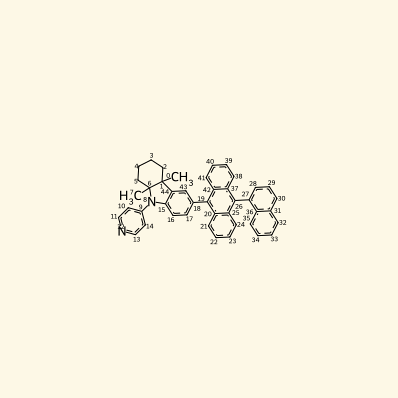 CC12CCCCC1(C)N(c1ccncc1)c1ccc(-c3c4ccccc4c(-c4cccc5ccccc45)c4ccccc34)cc12